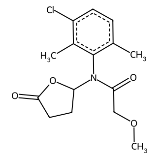 COCC(=O)N(c1c(C)ccc(Cl)c1C)C1CCC(=O)O1